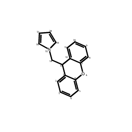 c1ccc2c(c1)Oc1ccccc1C2Cn1cccc1